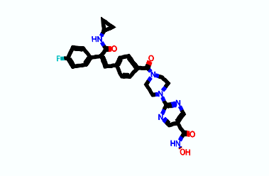 O=C(NC1CC1)C(=Cc1ccc(C(=O)N2CCN(c3ncc(C(=O)NO)cn3)CC2)cc1)c1ccc(F)cc1